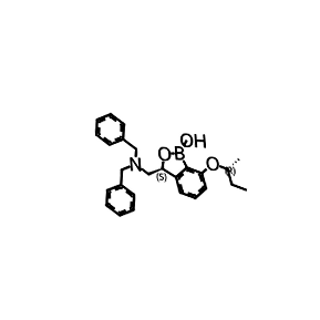 CC[C@@H](C)Oc1cccc2c1B(O)O[C@@H]2CN(Cc1ccccc1)Cc1ccccc1